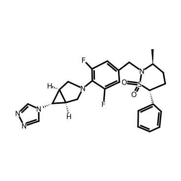 C[C@H]1CC[C@H](c2ccccc2)S(=O)(=O)N1Cc1cc(F)c(N2C[C@@H]3[C@H](C2)[C@H]3n2cnnc2)c(F)c1